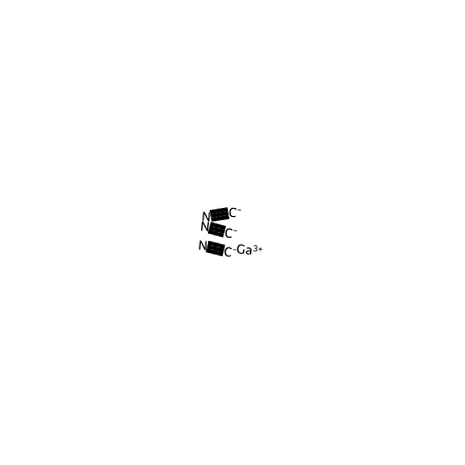 [C-]#N.[C-]#N.[C-]#N.[Ga+3]